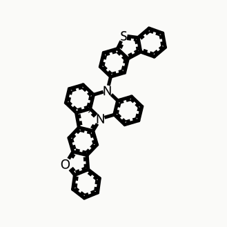 c1ccc2c(c1)N(c1ccc3sc4ccccc4c3c1)c1cccc3c4cc5oc6ccccc6c5cc4n-2c13